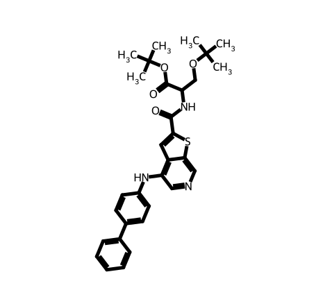 CC(C)(C)OCC(NC(=O)c1cc2c(Nc3ccc(-c4ccccc4)cc3)cncc2s1)C(=O)OC(C)(C)C